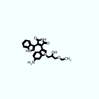 CCOCC(O)Cn1cc(C2=C(c3c[nH]c4ccccc34)C(=O)NC2=O)c2ccc(N)cc21